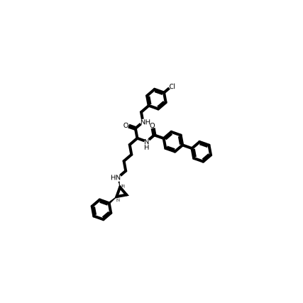 O=C(NC(CCCCN[C@@H]1C[C@H]1c1ccccc1)C(=O)NCc1ccc(Cl)cc1)c1ccc(-c2ccccc2)cc1